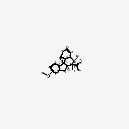 COc1ccc2c(c1)C[C@@H]1C23CCC2CC=CC(C23)[C@@H](C)[C@]1(C)C(C)=O